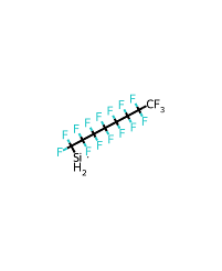 FC(F)(F)C(F)(F)C(F)(F)C(F)(F)C(F)(F)C(F)(F)C(F)(F)C(F)(F)[SiH2]